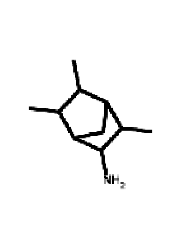 CC1C(C)C2CC1C(C)C2N